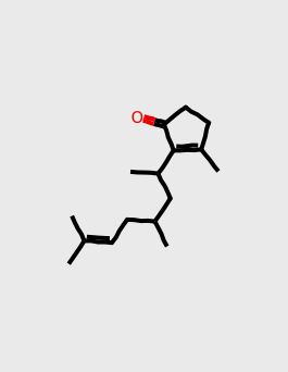 CC(C)=CCC(C)CC(C)C1=C(C)CCC1=O